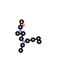 C1=CC2Oc3cc(-n4c5ccccc5c5c(-c6cccc(N(c7ccc(-c8ccccc8)cc7)c7ccc(-c8ccc(-c9cccc%10ccccc9%10)cc8)cc7)c6)cccc54)ccc3C2C=C1